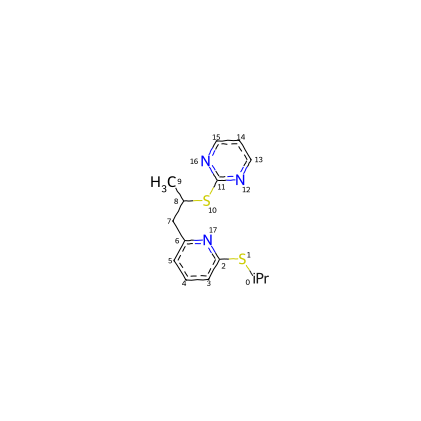 CC(C)Sc1cccc(CC(C)Sc2ncccn2)n1